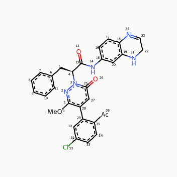 COc1nn([C@@H](Cc2ccccc2)C(=O)Nc2ccc3c(c2)NCC=N3)c(=O)cc1-c1cc(Cl)ccc1C(C)=O